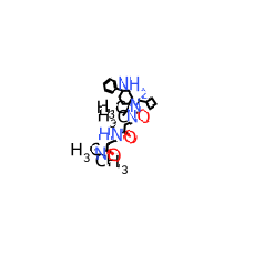 CN(C)C(=O)CCNC(=O)CCN1C(=O)N(CC2CCC2)C2(CCC(N)(c3ccccc3)CC2)C1(C)C